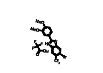 COc1ccc(-c2nc3cc(Br)c(C(F)(F)F)cc3[nH]2)cc1OC.O=C(O)C(F)(F)F